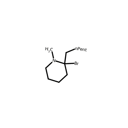 CCCCCCC1(Br)CCCCN1C